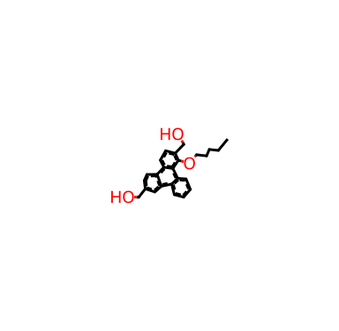 CCCCCOc1c(CO)ccc2c3ccc(CO)cc3c3ccccc3c12